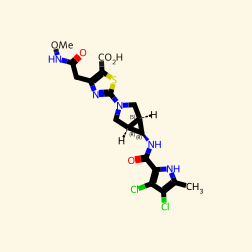 CONC(=O)Cc1nc(N2C[C@@H]3[C@H](C2)[C@@H]3NC(=O)c2[nH]c(C)c(Cl)c2Cl)sc1C(=O)O